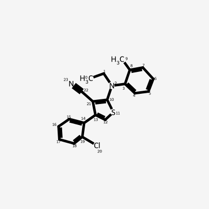 CCN(c1ccccc1C)c1scc(-c2ccccc2Cl)c1C#N